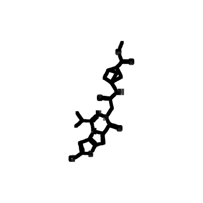 COC(=O)C1CC2(NC(=O)Cn3nc(C(C)C)n4c(cc5sc(Cl)cc54)c3=O)CC1C2